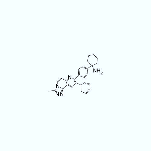 Cc1nnc2c3cc(-c4ccccc4)c(-c4ccc(C5(N)CCCCC5)cc4)nc3ccn12